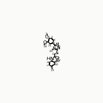 COc1ccc(-c2nnc(SCC(=O)Nc3ccc(C)cc3Br)n2C)cc1OC